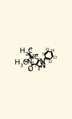 C=CCN(C)C(=O)c1cnn(-c2ccccc2)c1C#N